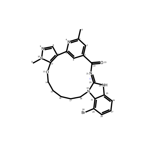 Cc1cc2cc(n1)-c1cnn(C)c1OCCCCCN1/C(=N/C2=O)Nc2cccc(Br)c21